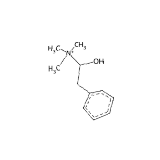 C[N+](C)(C)C(O)Cc1ccccc1